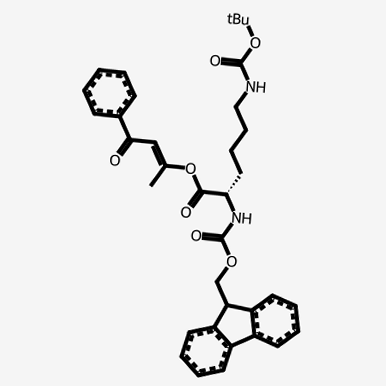 C/C(=C\C(=O)c1ccccc1)OC(=O)[C@H](CCCCNC(=O)OC(C)(C)C)NC(=O)OCC1c2ccccc2-c2ccccc21